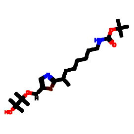 CC(CCCCCCNC(=O)OC(C)(C)C)c1ncc(BOC(C)(C)C(C)(C)O)s1